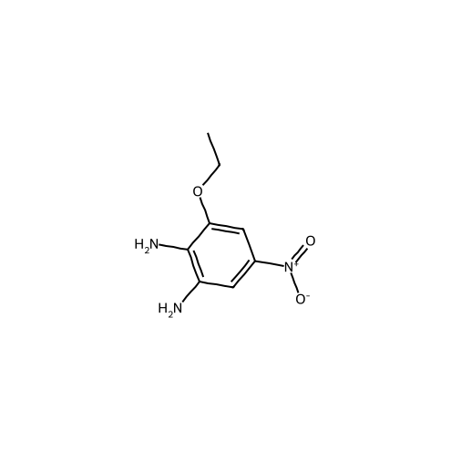 CCOc1cc([N+](=O)[O-])cc(N)c1N